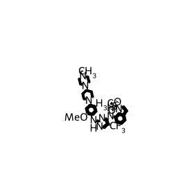 COc1cc(N2CCC(N3CCN(C)CC3)CC2)ccc1Nc1ncc(C(F)(F)F)c(Nc2cccc3ccn(S(C)(=O)=O)c23)n1